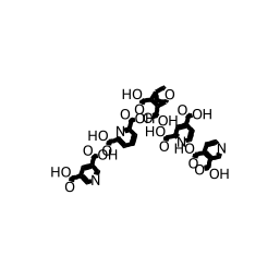 O=C(O)C1C2COC(C2)C1C(=O)O.O=C(O)c1cccc(C(=O)O)n1.O=C(O)c1ccnc(C(=O)O)c1.O=C(O)c1ccncc1C(=O)O.O=C(O)c1cncc(C(=O)O)c1